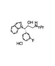 CCCNC[C@@H](O)[C@H](c1cccc(F)c1)n1ccc2ccccc21.Cl